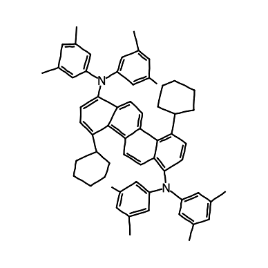 Cc1cc(C)cc(N(c2cc(C)cc(C)c2)c2ccc(C3CCCCC3)c3c2ccc2c3ccc3c(N(c4cc(C)cc(C)c4)c4cc(C)cc(C)c4)ccc(C4CCCCC4)c32)c1